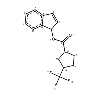 O=C(OC1C=Cc2ccccc21)N1CCC(C(F)(F)F)C1